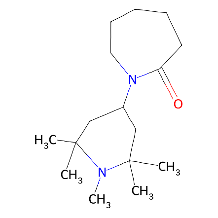 CN1C(C)(C)CC(N2CCCCCC2=O)CC1(C)C